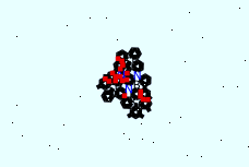 Cc1cc(C)cc([Si](c2ccccc2)(c2cc(C)cc(C)c2)c2cccc(N3c4cc([Si](c5ccccc5)(c5cc(C)cc(C)c5)c5cc(C)cc(C)c5)ccc4B4c5c(-c6ccccc6)cccc5N(c5cccc([Si](c6ccccc6)(c6ccccc6)c6ccccc6)c5)c5cc(-n6c7ccccc7c7ccccc76)cc3c54)c2)c1